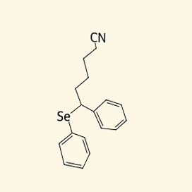 N#CCCCCC([Se]c1ccccc1)c1ccccc1